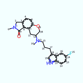 CN1Cc2ccc3c(c2C1=O)CC(N(C)CCCc1c[nH]c2ccc(F)cc12)CO3